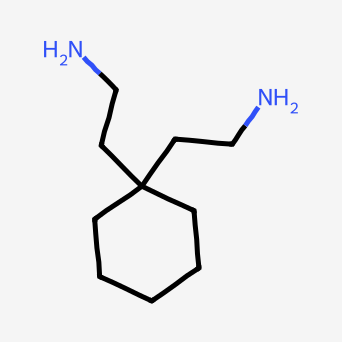 NCCC1(CCN)CCCCC1